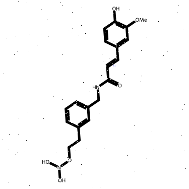 COc1cc(/C=C/C(=O)NCc2cccc(CCON(O)O)c2)ccc1O